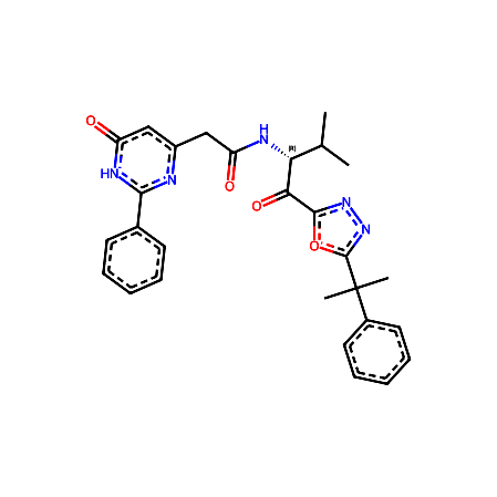 CC(C)[C@@H](NC(=O)Cc1cc(=O)[nH]c(-c2ccccc2)n1)C(=O)c1nnc(C(C)(C)c2ccccc2)o1